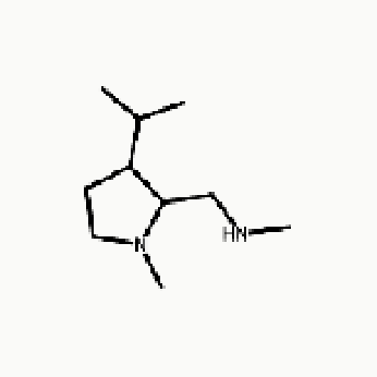 CNCC1C(C(C)C)CCN1C